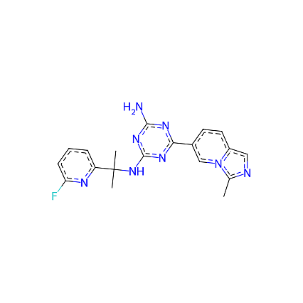 Cc1ncc2ccc(-c3nc(N)nc(NC(C)(C)c4cccc(F)n4)n3)cn12